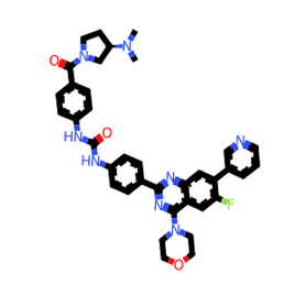 CN(C)[C@@H]1CCN(C(=O)c2ccc(NC(=O)Nc3ccc(-c4nc(N5CCOCC5)c5cc(F)c(-c6cccnc6)cc5n4)cc3)cc2)C1